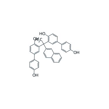 CC(c1ccc2ccccc2c1)(c1cc(-c2ccc(O)cc2)ccc1O)c1cc(-c2ccc(O)cc2)ccc1O